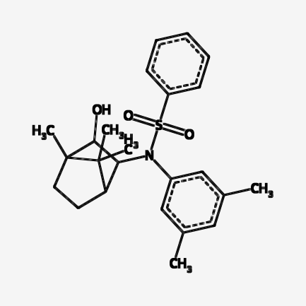 Cc1cc(C)cc(N(C2C3CCC(C)(C2O)C3(C)C)S(=O)(=O)c2ccccc2)c1